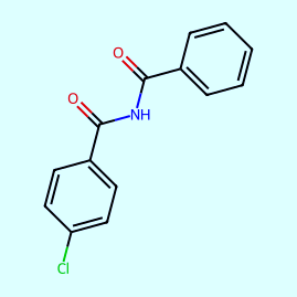 O=C(NC(=O)c1ccc(Cl)cc1)c1ccccc1